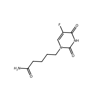 NC(=O)CCCCn1cc(F)c(=O)[nH]c1=O